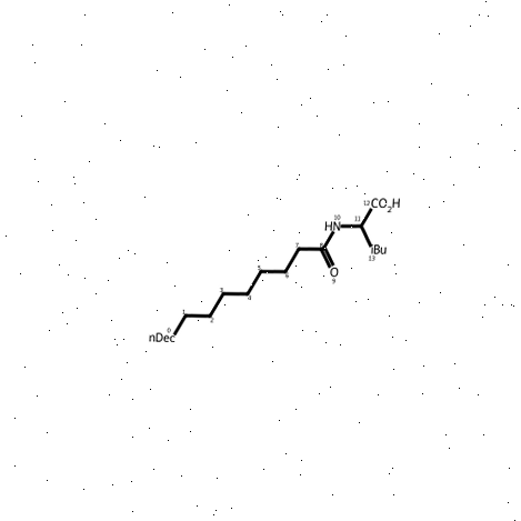 CCCCCCCCCCCCCCCCCC(=O)NC(C(=O)O)C(C)CC